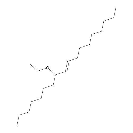 CCCCCCCCC=CC(CCCCCCC)OCC